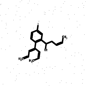 C=C/C=C(\C=C/C)c1ccc(I)cc1C(CC)C/C=C\C